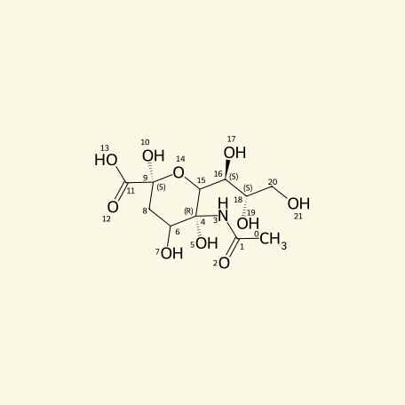 CC(=O)N[C@@]1(O)C(O)C[C@@](O)(C(=O)O)OC1[C@@H](O)[C@@H](O)CO